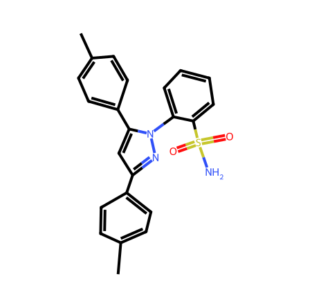 Cc1ccc(-c2cc(-c3ccc(C)cc3)n(-c3ccccc3S(N)(=O)=O)n2)cc1